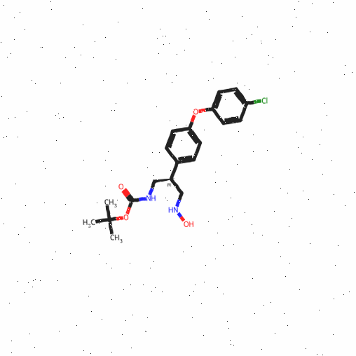 CC(C)(C)OC(=O)NC[C@H](CNO)c1ccc(Oc2ccc(Cl)cc2)cc1